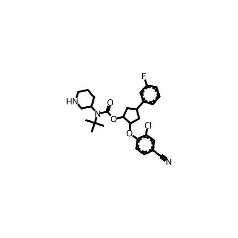 CC(C)(C)N(C(=O)OC1CC(c2cccc(F)c2)CC1Oc1ccc(C#N)cc1Cl)C1CCCNC1